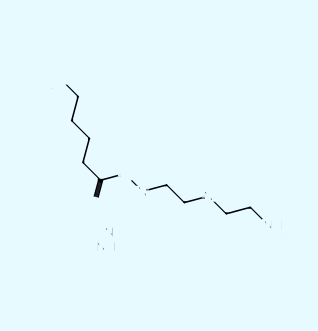 N.N.NCCNCCNOC(=O)CCCCC(=O)O